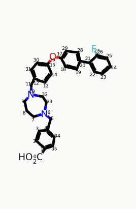 O=C(O)c1ccc(CN2CCCN(Cc3ccc(Oc4ccc(-c5ccccc5F)cc4)cc3)CC2)cc1